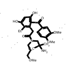 CCc1c(O)cc(O)c(C(=O)c2ccc(OC)c(OC)c2)c1CC(=O)N(CCCOC)CC(C)(C)N